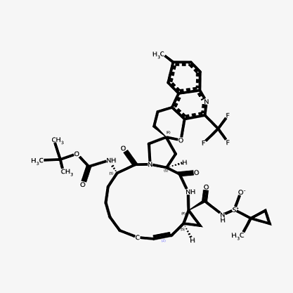 Cc1ccc2nc(C(F)(F)F)c3c(c2c1)CC[C@]1(C[C@H]2C(=O)N[C@]4(C(=O)N[S+]([O-])C5(C)CC5)C[C@H]4/C=C\CCCCC[C@H](NC(=O)OC(C)(C)C)C(=O)N2C1)O3